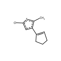 Cc1sc(Cl)cc1C1=CCCC1